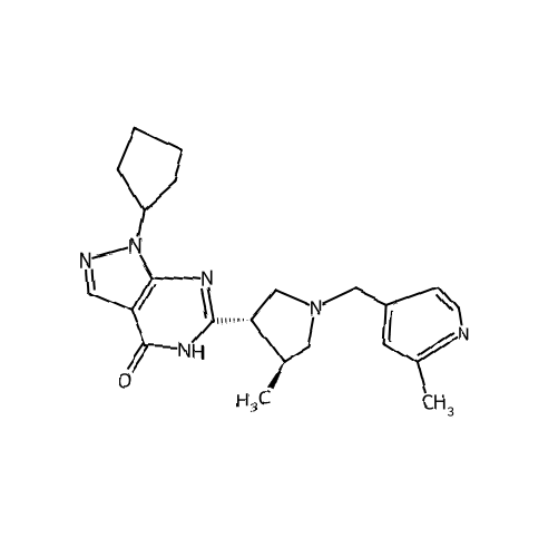 Cc1cc(CN2C[C@@H](C)[C@H](c3nc4c(cnn4C4CCCC4)c(=O)[nH]3)C2)ccn1